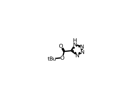 CC(C)(C)OC(=O)c1nnn[nH]1